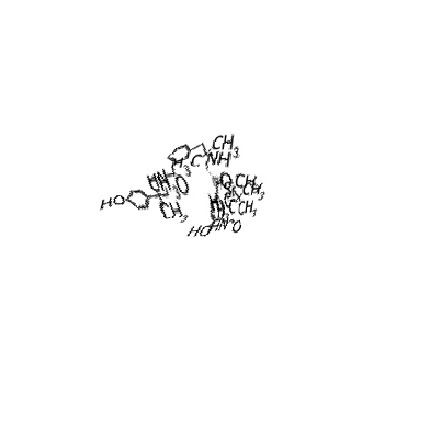 CC(C)(Cc1cccc(C(=O)NCC(C)(C)c2ccc(O)cc2)c1)NC[C@H](O[Si](C)(C)C(C)(C)C)c1ccc(O)c(NC=O)c1